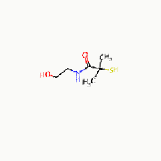 CC(C)(S)C(=O)NCCO